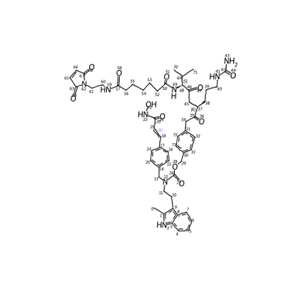 Cc1[nH]c2ccccc2c1CCN(Cc1ccc(/C=C/C(=O)NO)cc1)C(=O)OCc1ccc(CC(=O)[C@H](CCCNC(N)=O)CC(=O)[C@@H](NC(=O)CCCCCC(=O)NCCN2C(=O)C=CC2=O)C(C)C)cc1